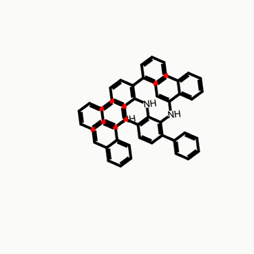 c1ccc(-c2ccc(-c3ccccc3)c(Nc3cccc4ccccc34)c2Nc2c(-c3ccccc3)ccc(-c3ccccc3)c2Nc2cccc3ccccc23)cc1